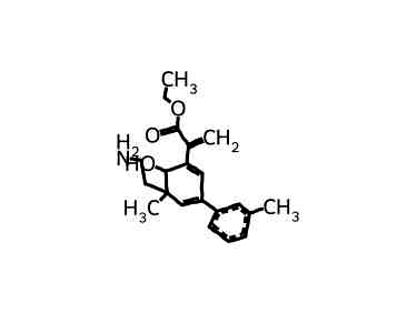 C=C(C(=O)OCC)C1=CC(c2cccc(C)c2)=CC(C)(CCN)C1O